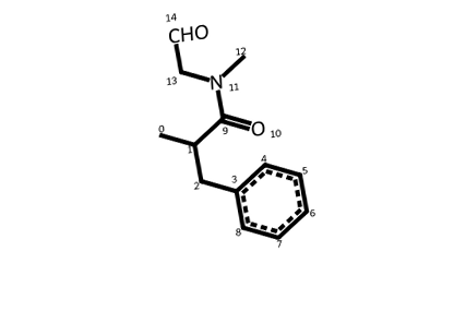 CC(Cc1ccccc1)C(=O)N(C)CC=O